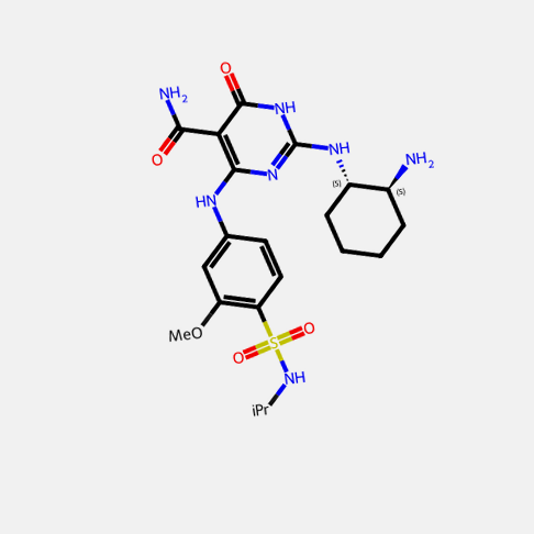 COc1cc(Nc2nc(N[C@H]3CCCC[C@@H]3N)[nH]c(=O)c2C(N)=O)ccc1S(=O)(=O)NC(C)C